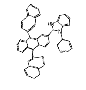 C1=CCC(N2c3ccccc3N[C@@H]2C2=CC3=C(c4ccc5ccccc5c4)c4ccccc4C(c4ccc5c(c4)C=CCC5)C3C=C2)C=C1